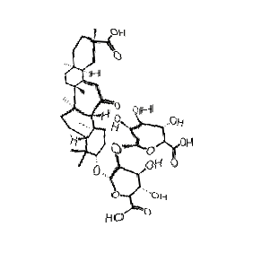 CC1(C)[C@@H](O[C@H]2OC(C(=O)O)[C@@H](O)[C@H](O)C2O[C@@H]2OC(C(=O)O)[C@@H](O)C(O)[C@@H]2O)CC[C@]2(C)[C@H]3C(=O)C=C4[C@@H]5C[C@@](C)(C(=O)O)CC[C@]5(C)CC[C@@]4(C)[C@]3(C)CC[C@@H]12